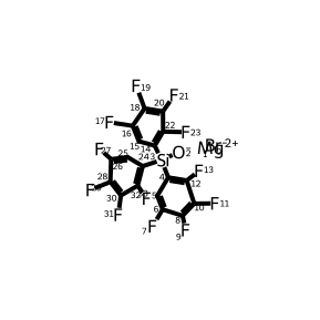 [Br-].[Mg+2].[O-][Si](c1cc(F)c(F)c(F)c1F)(c1cc(F)c(F)c(F)c1F)c1cc(F)c(F)c(F)c1F